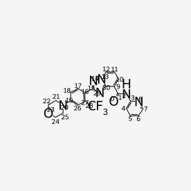 O=C(Nc1ccccn1)c1cccn2nc(-c3ccc(N4CCOCC4)cc3C(F)(F)F)nc12